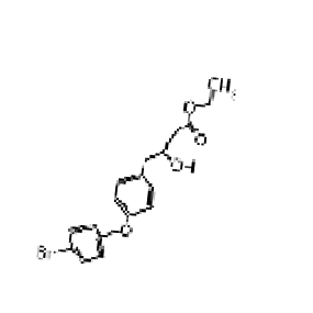 CCOC(=O)CC(O)Cc1ccc(Oc2ccc(Br)cc2)cc1